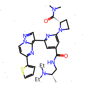 CCN(CC)[C@@H](C)CNC(=O)c1cc(-c2cnn3ccc(-c4cccs4)nc23)nc(N2CC[C@H]2C(=O)N(C)C)c1